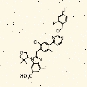 Cc1cc(Cc2nc3c(F)cc(C(=O)O)cc3n2[C@@H]2COCC2(C)C)c(Cl)cc1-c1ccnc(OCc2ccc(Cl)cc2F)n1